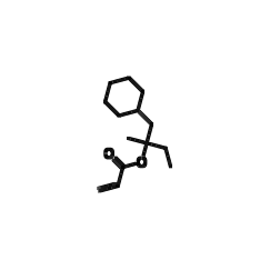 C=CC(=O)OC(C)(CC)CC1CCCCC1